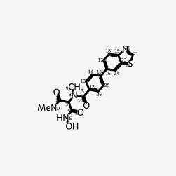 CNC(=O)C(C(=O)NO)N(C)C(=O)c1ccc(-c2ccc3ncsc3c2)cc1